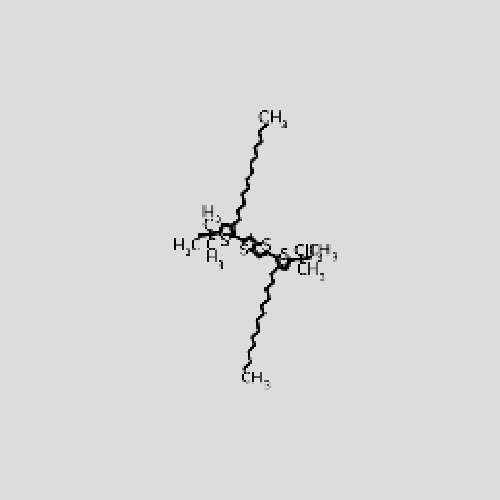 CCCCCCCCCCCCCCc1cc(C(C)(C)CC)sc1-c1cc2sc(-c3sc(C(C)(C)CC)cc3CCCCCCCCCCCCCC)cc2s1